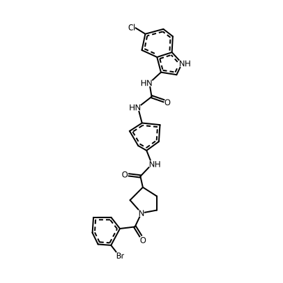 O=C(Nc1ccc(NC(=O)C2CCN(C(=O)c3ccccc3Br)C2)cc1)Nc1c[nH]c2ccc(Cl)cc12